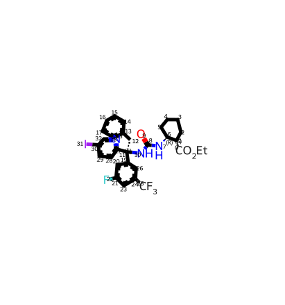 CCOC(=O)[C@H]1CCCC[C@H]1NC(=O)N[C@@](Cc1ccccc1)(c1cc(F)cc(C(F)(F)F)c1)c1ccc(I)cn1